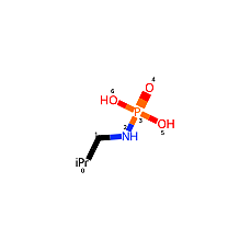 CC(C)CNP(=O)(O)O